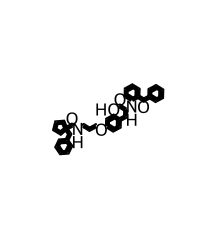 O=C(c1ccccc1)c1ccccc1NC(Cc1ccc(OCCCNC(=O)C2(Cc3ccccc3)CCCC2)cc1)C(=O)O